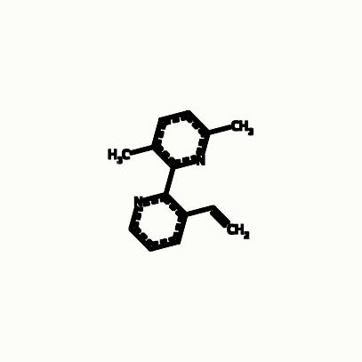 C=Cc1cccnc1-c1nc(C)ccc1C